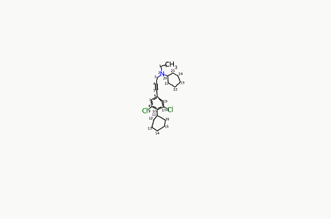 CCN(CC#Cc1cc(Cl)c(C2CCCCC2)c(Cl)c1)C1CCCCC1